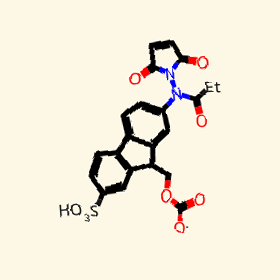 CCC(=O)N(c1ccc2c(c1)C(COC([O])=O)c1cc(S(=O)(=O)O)ccc1-2)N1C(=O)C=CC1=O